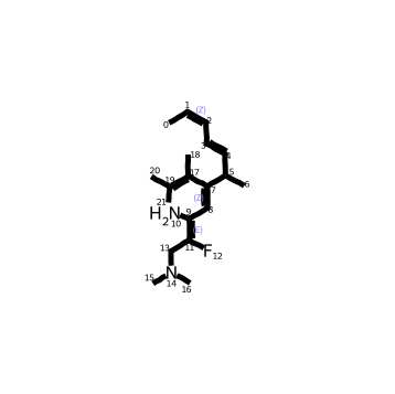 C/C=C\C=CC(C)/C(=C/C(N)=C(\F)CN(C)C)C(C)=C(C)C